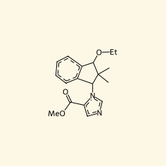 CCOC1c2ccccc2C(n2cncc2C(=O)OC)C1(C)C